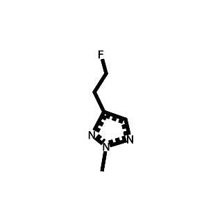 Cn1ncc(CCF)n1